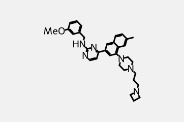 COc1cccc(CNc2nccc(-c3cc(N4CCN(CCCN5CCC5)CC4)c4cc(C)ccc4c3)n2)c1